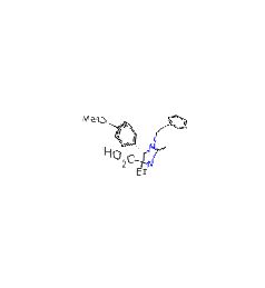 CC[C@]1(C(=O)O)N=C(C)N(Cc2ccccc2)[C@H]1c1ccc(OC)cc1